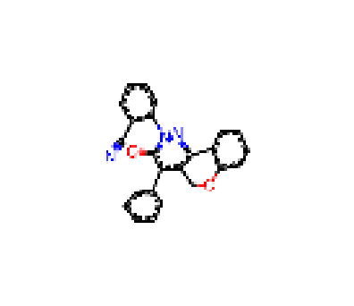 N#Cc1ccccc1-n1nc2c(c(-c3ccccc3)c1=O)COc1ccccc1-2